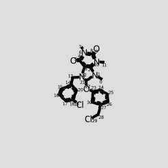 CN1c2c(c(=O)n(C)c(=O)n2C)N(Cc2cccc(Cl)c2)C1Oc1cccc(CCl)c1